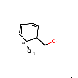 C[C@@H]1C=CC=CC1CO